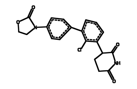 O=C1CCC(c2cccc(-c3ccc(N4CCOC4=O)cc3)c2Cl)C(=O)N1